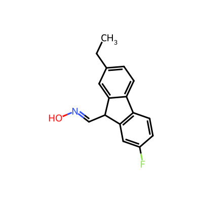 CCc1ccc2c(c1)C(C=NO)c1cc(F)ccc1-2